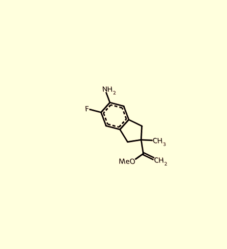 C=C(OC)C1(C)Cc2cc(N)c(F)cc2C1